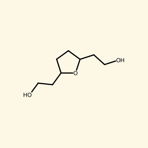 OCCC1CCC(CCO)O1